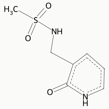 CS(=O)(=O)NCc1ccc[nH]c1=O